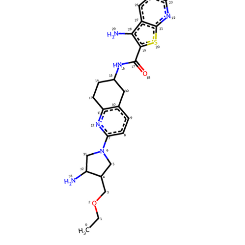 CCOCC1CN(c2ccc3c(n2)CCC(NC(=O)c2sc4nc(C)ccc4c2N)C3)CC1N